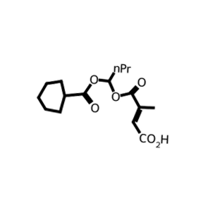 CCCC(OC(=O)C(C)=CC(=O)O)OC(=O)C1CCCCC1